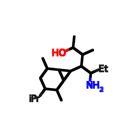 CCC(N)C(C(C)C(C)O)C1C2C(C)CC(C(C)C)C(C)C21